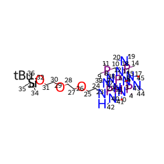 CN(C)P(C)(=N[PH](N=P(C)(C)C)(N=P(C)(N(C)C)N(C)C)N=P(NCCOCCOCCO[Si](C)(C)C(C)(C)C)(N(C)C)N(C)C)N(C)C